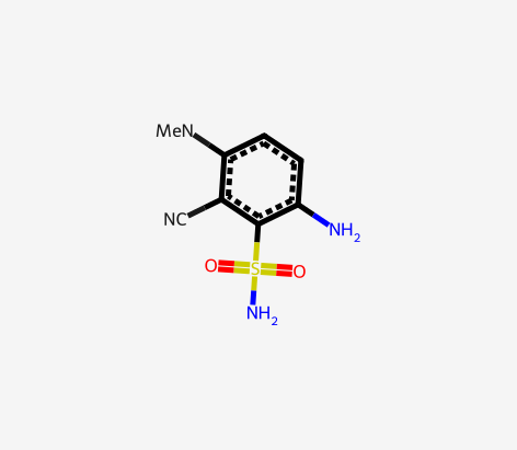 CNc1ccc(N)c(S(N)(=O)=O)c1C#N